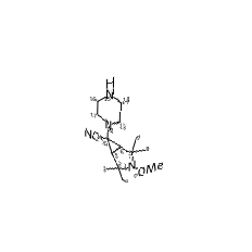 CON1C(C)(C)C2C(C1(C)C)C2(C#N)N1CCNCC1